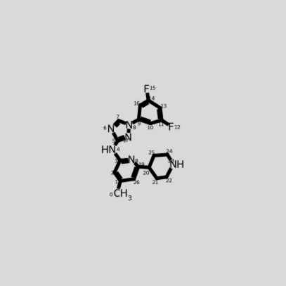 Cc1cc(Nc2ncn(-c3cc(F)cc(F)c3)n2)nc(C2CCNCC2)c1